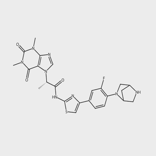 C[C@@H](C(=O)Nc1nc(-c2ccc(N3CC4CC3CN4)c(F)c2)cs1)n1cnc2c1c(=O)n(C)c(=O)n2C